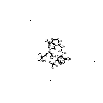 CNC(=O)CCC(C=O)N(C)Cc1c(C=O)cccc1CCC[C@@H](NC(=O)OC(C)(C)C)C(=O)O